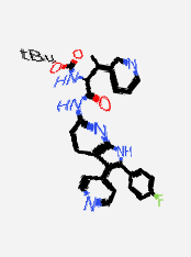 CC(c1cccnc1)[C@H](NC(=O)OC(C)(C)C)C(=O)Nc1ccc2c(-c3ccncc3)c(-c3ccc(F)cc3)[nH]c2n1